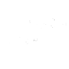 COC1CC1C(=O)NC(=O)Nc1ccc(Oc2ncc(Cl)cn2)c(C)c1